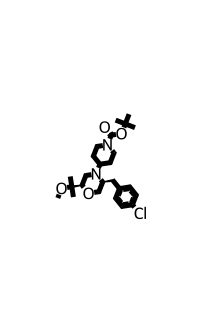 COC(C)(C)[C@H]1CN(C2CCN(C(=O)OC(C)(C)C)CC2)[C@@H](Cc2ccc(Cl)cc2)CO1